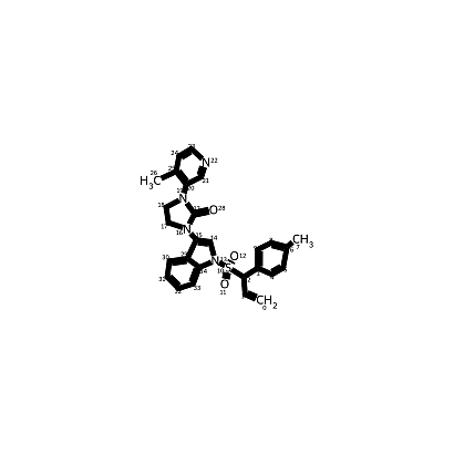 C=CC(c1ccc(C)cc1)S(=O)(=O)n1cc(N2CCN(c3cnccc3C)C2=O)c2ccccc21